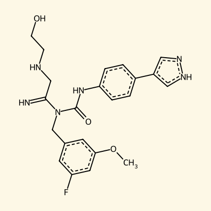 COc1cc(F)cc(CN(C(=N)CNCCO)C(=O)Nc2ccc(-c3cn[nH]c3)cc2)c1